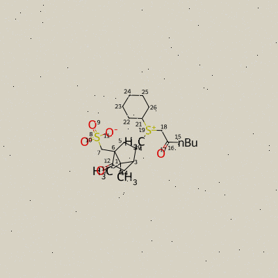 CC1(C)C2CCC1(CS(=O)(=O)[O-])C(=O)C2.CCCCC(=O)C[S+](C)C1CCCCC1